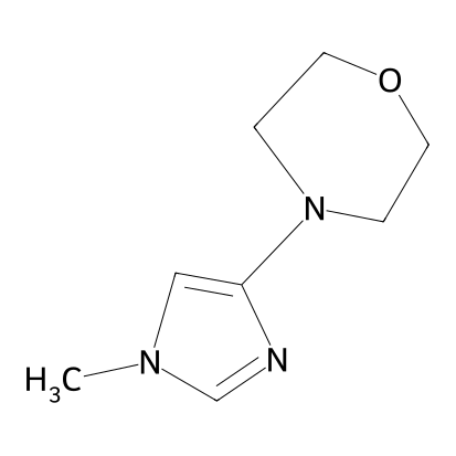 Cn1cnc(N2CCOCC2)c1